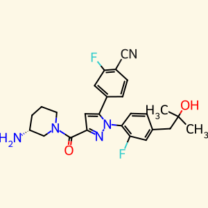 CC(C)(O)Cc1ccc(-n2nc(C(=O)N3CCC[C@@H](N)C3)cc2-c2ccc(C#N)c(F)c2)c(F)c1